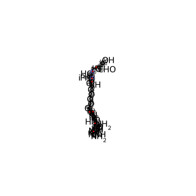 C/C(=C\[C@@H](C)CC[C@@H](CC[C@H]1CC[C@H](O)CC1)OC=O)[C@@H](O)C/C(=N/OCC(=O)NCCOCCOCCOCCOCCC(=O)N1CCN(c2ncc(C(=O)NCCCCNc3ncnc(N)c3C(=N)c3ccc4oc(N)nc4c3)cn2)CC1)[C@H](C)CC(C)C